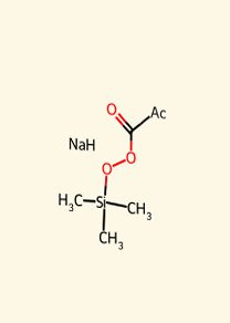 CC(=O)C(=O)OO[Si](C)(C)C.[NaH]